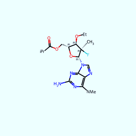 CCO[C@@H]1[C@@H](COC(=O)C(C)C)O[C@@H](n2cnc3c(NC)nc(N)nc32)[C@]1(C)F